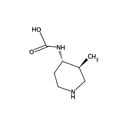 C[C@H]1CNCC[C@@H]1NC(=O)O